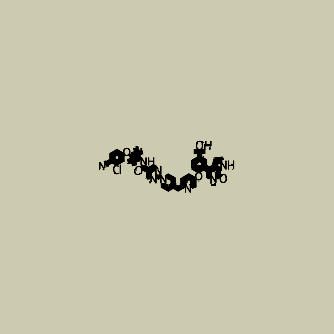 Cn1cc(-c2cc(C(C)(C)O)ccc2Oc2ccc(CC3CCN(c4ncc(C(=O)NC5C(C)(C)C(Oc6ccc(C#N)c(Cl)c6)C5(C)C)cn4)CC3)nc2)c2cc[nH]c2c1=O